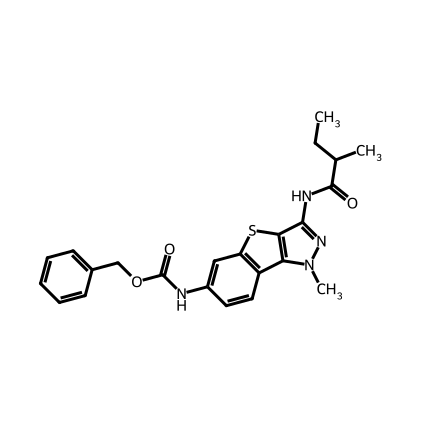 CCC(C)C(=O)Nc1nn(C)c2c1sc1cc(NC(=O)OCc3ccccc3)ccc12